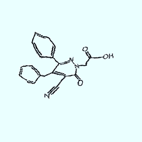 N#Cc1c(-c2ccccc2)c(-c2ccccc2)nn(CC(=O)O)c1=O